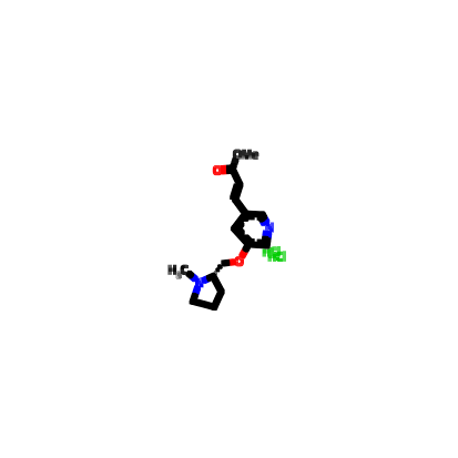 COC(=O)C=Cc1cncc(OC[C@@H]2CCCN2C)c1.Cl.Cl